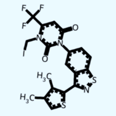 Cc1csc(-c2nsc3ccc(-n4c(=O)cc(C(F)(F)F)n(CI)c4=O)cc23)c1C